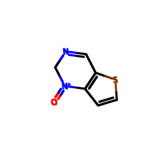 O=[N+]1CN=Cc2sccc21